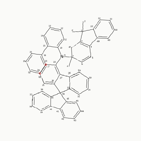 CC1(C)C2=C(C=CC(C)(N(c3ccccc3-c3ccccc3)c3cccc4c3-c3ccccc3C43c4ccccc4-c4ccccc43)C2)c2ccccc21